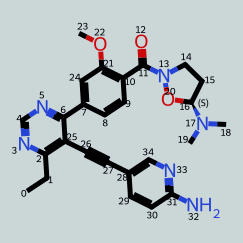 CCc1ncnc(-c2ccc(C(=O)N3CC[C@@H](N(C)C)O3)c(OC)c2)c1C#Cc1ccc(N)nc1